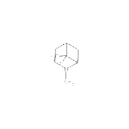 CC1(C)[C]2CC1CCN2N